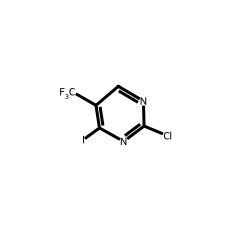 FC(F)(F)c1cnc(Cl)nc1I